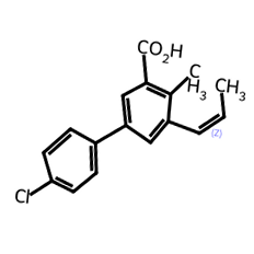 C/C=C\c1cc(-c2ccc(Cl)cc2)cc(C(=O)O)c1C